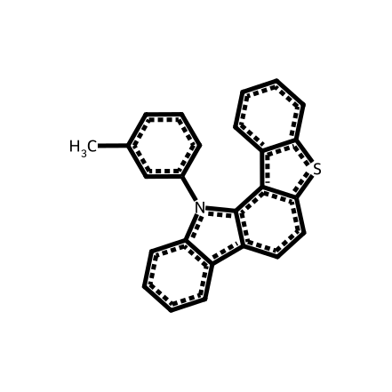 Cc1cccc(-n2c3ccccc3c3ccc4sc5ccccc5c4c32)c1